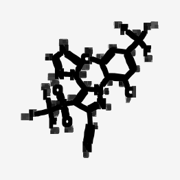 N#Cc1nn(-c2c(Cl)cc(C(F)(F)F)cc2Cl)c(-n2cncn2)c1S(=O)(=O)C(F)(F)F